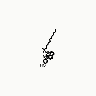 CCCCCCCCCCCCC(C)ONC(=O)c1c(C2(O)C=CC(O)=CC2)ccc2ccccc12